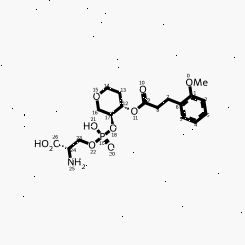 COc1ccccc1CCC(=O)O[C@H]1CCOC[C@@H]1OP(=O)(O)OC[C@H](N)C(=O)O